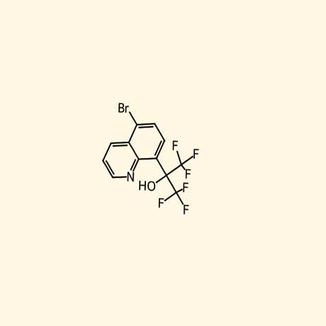 OC(c1ccc(Br)c2cccnc12)(C(F)(F)F)C(F)(F)F